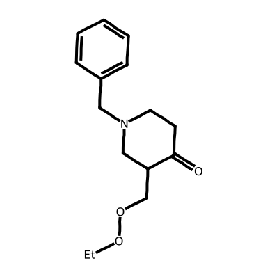 CCOOCC1CN(Cc2ccccc2)CCC1=O